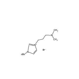 CCCCn1cc[n+](CCCN(C)C)c1.[Br-]